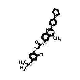 Cc1nc(N2CCC(N3CCCC3)CC2)nc2ccc(NC(=O)COc3ccc(OC(C)C)cc3Cl)cc12